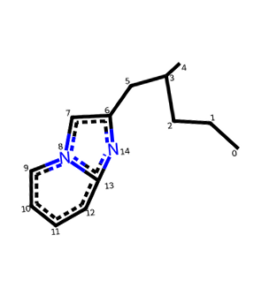 CCCC(C)Cc1cn2ccccc2n1